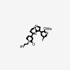 COc1ncc(F)cc1-c1cnn2ccc(-c3ccn(CCC(C)C)c(=O)c3)nc12